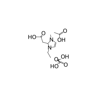 CC(=O)O.CCN1C=CN(C)C1CC(=O)O.O=S(=O)(O)O